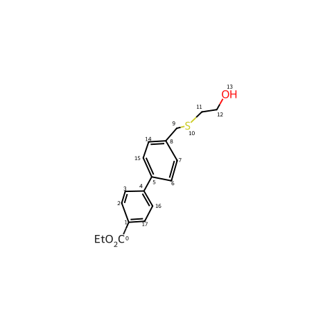 CCOC(=O)c1ccc(-c2ccc(CSCCO)cc2)cc1